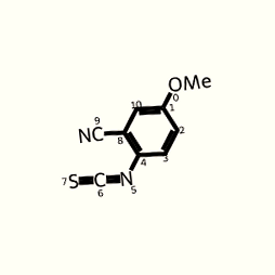 COc1ccc(N=C=S)c(C#N)c1